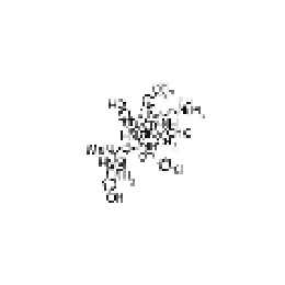 CN[C@@H](CSSC[C@@H](NC(=O)CCc1ccc(Cl)cc1)C(=O)N[C@@H](Cc1ccc(O)cc1)C(=O)N[C@H](Cc1ccc(C(N)=O)cc1)C(=O)N[C@@H](CCCCN(C)C)C(=O)NC(C=O)C(C)O)C(=O)N[C@H](Cc1ccc(O)cc1)C(N)=O